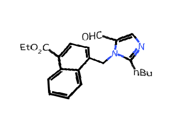 CCCCc1ncc(C=O)n1Cc1ccc(C(=O)OCC)c2ccccc12